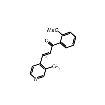 COc1ccccc1C(=O)/C=C/c1ccncc1C(F)(F)F